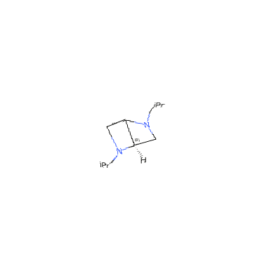 CC(C)N1C[C@@H]2C1CN2C(C)C